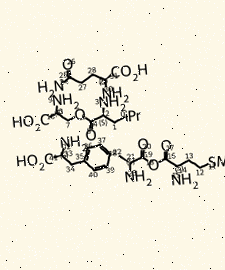 CC(C)C[C@H](N)C(=O)OC[C@H](N)C(=O)O.CSCC[C@H](N)C(=O)OC(=O)[C@H](C)N.NC(=O)CC[C@H](N)C(=O)O.N[C@@H](Cc1ccccc1)C(=O)O